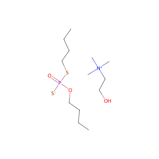 CCCCOP(=O)([S-])SCCCC.C[N+](C)(C)CCO